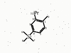 Cc1ccc(S(C)(C)C)cc1C(C)C